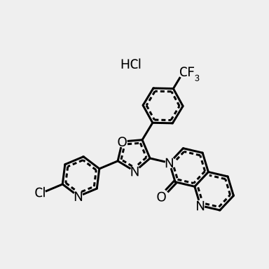 Cl.O=c1c2ncccc2ccn1-c1nc(-c2ccc(Cl)nc2)oc1-c1ccc(C(F)(F)F)cc1